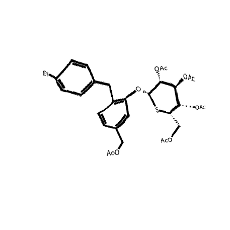 CCc1ccc(Cc2ccc(COC(C)=O)cc2O[C@H]2S[C@@H](COC(C)=O)[C@@H](OC(C)=O)[C@H](OC(C)=O)[C@H]2OC(C)=O)cc1